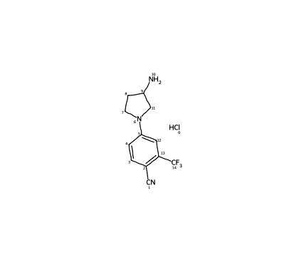 Cl.N#Cc1ccc(N2CCC(N)C2)cc1C(F)(F)F